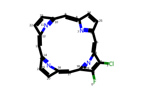 FC1=C(Cl)C2=CC3=NC(=CC4=NC(=CC5=NC(=CC1=N2)C=C5)C=C4)C=C3